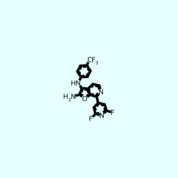 Nc1oc2c(-c3cc(F)nc(F)c3)nccc2c1Nc1ccc(C(F)(F)F)cc1